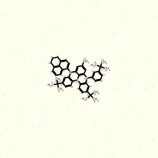 Cc1cc2c3c(c1)N(c1ccc4c5c(cccc15)CCC4)c1cc(C(C)(C)C)ccc1B3c1ccc(C(C)(C)C)cc1N2c1cccc(C(C)(C)C)c1